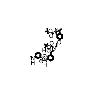 CNc1cccc(S(=O)(=O)Nc2cccc(C(O)CN(CCOc3ccc4c(C)nn(C(=O)OC(C)(C)C)c4c3)C(=O)OC(C)(C)C)c2)c1